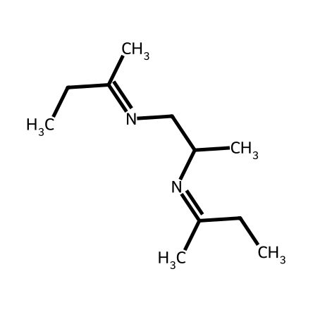 CCC(C)=NCC(C)N=C(C)CC